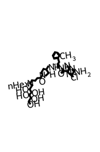 CCCCCCN(CCCC(=O)N1CCC(CNC[C@@H](CNC(=O)c2nc(Cl)c(N)nc2N)Cc2ccccc2C)CC1)C[C@H](O)[C@@H](O)[C@H](O)[C@H](O)CO